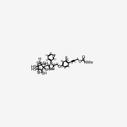 CNC(=O)OCC#Cc1ccc(OCc2nnc(SC3(S)C(S)C(S)(S)C(S)(S)C3(S)S)n2-c2cccnc2)cc1F